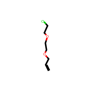 C=CCOCCOCCCl